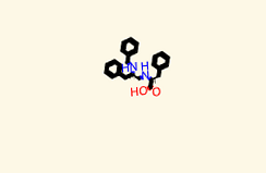 O=C(O)[C@H](Cc1ccccc1)NC[C@@H](Cc1ccccc1)NCc1ccccc1